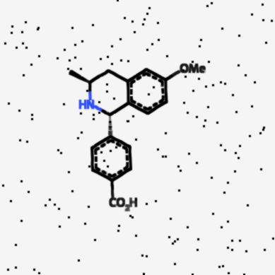 COc1ccc2c(c1)C[C@H](C)N[C@H]2c1ccc(C(=O)O)cc1